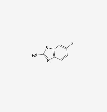 [NH]c1nc2ccc(F)cc2s1